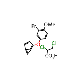 COc1ccc(Oc2ccc3cc2-3)cc1C(C)C.O=C(O)C(Cl)CCl